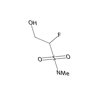 CNS(=O)(=O)C(F)CO